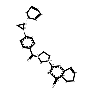 O=C(c1ccc([C@@H]2C[C@@H]2C2C=CC=CC2)cc1)N1CCN(c2nc3c(c(=O)[nH]2)CCC=C3)C1